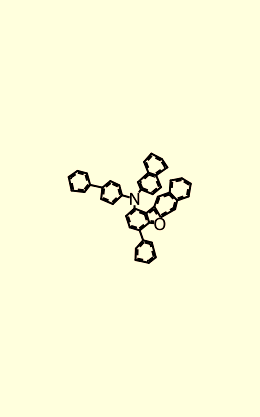 c1ccc(-c2ccc(N(c3ccc4ccccc4c3)c3ccc(-c4ccccc4)c4oc5cc6ccccc6cc5c34)cc2)cc1